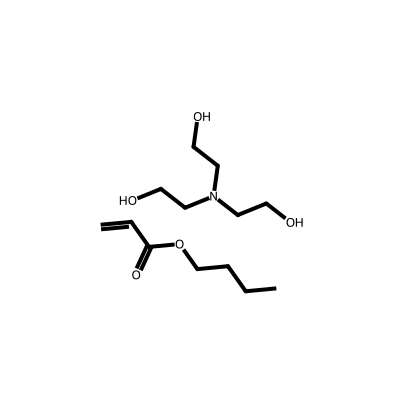 C=CC(=O)OCCCC.OCCN(CCO)CCO